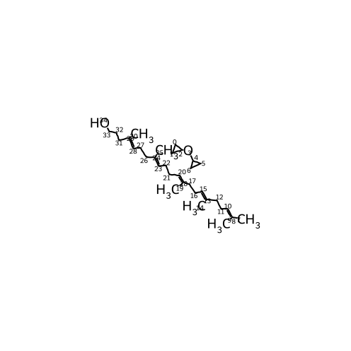 C1CC1OC1CC1.CC(C)=CCC/C(C)=C/CC/C(C)=C/CC/C=C(\C)CC/C=C(\C)CCCO